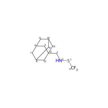 FC(F)(F)SNCC12CC3CC(CC(C3)C1)C2